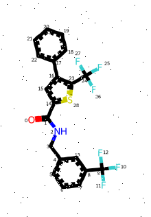 O=C(NCc1cccc(C(F)(F)F)c1)c1cc(-c2ccccc2)c(C(F)(F)F)s1